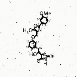 COc1cccc(-c2nc(CO[C@@H]3CCC[C@H](CC(O)C4SC(=O)NC4=O)C3)c(C)o2)c1